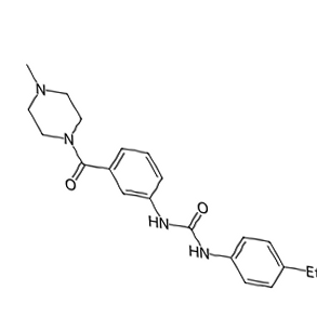 CCc1ccc(NC(=O)Nc2cccc(C(=O)N3CCN(C)CC3)c2)cc1